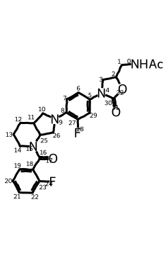 CC(=O)NCC1CN(c2ccc(N3CC4CCCN(C(=O)c5ccccc5F)C4C3)c(F)c2)C(=O)O1